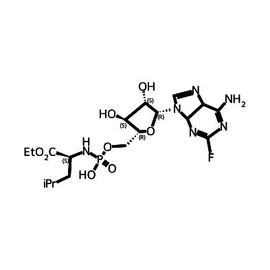 CCOC(=O)[C@H](CC(C)C)NP(=O)(O)OC[C@H]1O[C@@H](N2C=NC3C(N)=NC(F)=NC32)[C@@H](O)[C@@H]1O